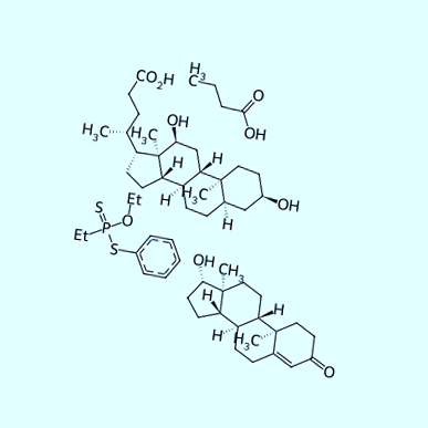 CCCC(=O)O.CCOP(=S)(CC)Sc1ccccc1.C[C@H](CCC(=O)O)[C@H]1CC[C@H]2[C@@H]3CC[C@@H]4C[C@H](O)CC[C@]4(C)[C@H]3C[C@H](O)[C@]12C.C[C@]12CC[C@H]3[C@@H](CCC4=CC(=O)CC[C@@]43C)[C@@H]1CC[C@@H]2O